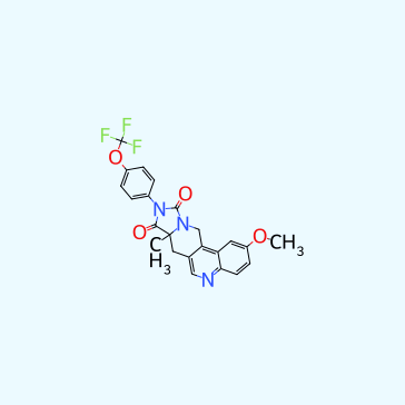 COc1ccc2ncc3c(c2c1)CN1C(=O)N(c2ccc(OC(F)(F)F)cc2)C(=O)C1(C)C3